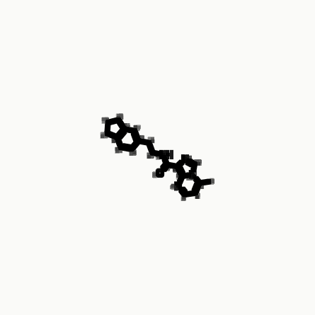 Cc1ccnc2c(C(=O)NCCc3ccc4c(c3)CCC4)ncn12